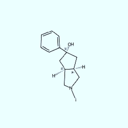 O[C@]1(c2ccccc2)C[C@H]2CN(I)C[C@H]2C1